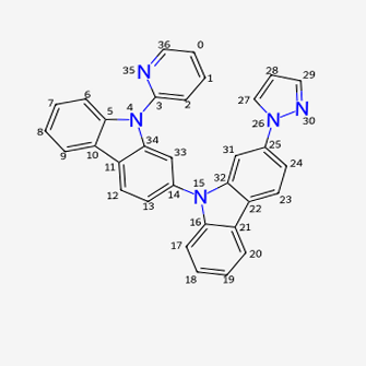 c1ccc(-n2c3ccccc3c3ccc(-n4c5ccccc5c5ccc(-n6cccn6)cc54)cc32)nc1